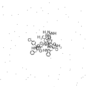 CC(C)C[C@H](NC(=O)CNC(=O)[C@H](Cc1ccccc1)NC(=O)c1ccc(Cl)cc1)C(=O)N[C@@H](CCCNC(=N)N)C(=O)N[C@@H](Cc1c[nH]c2ccccc12)C(N)=O